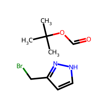 BrCc1cc[nH]n1.CC(C)(C)OC=O